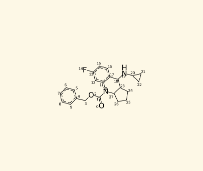 O=C(OCc1ccccc1)N1c2cc(F)ccc2C(NC2CC2)C2CCCC21